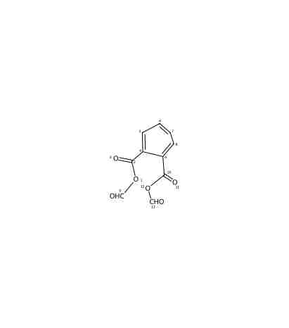 O=COC(=O)c1ccccc1C(=O)OC=O